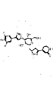 O=c1cc(C2=NOC(C[C@H]3O[C@H](CO)[C@H](O)[C@H](n4cc(-c5cc(F)c(F)c(F)c5)nn4)[C@H]3O)C2)cc[nH]1